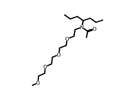 CCCC(CCC)N(CCOCCOCCOCCOC)C(C)=O